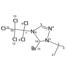 CC(C)N1N=CN(C(Cl)(Cl)C(Cl)(Cl)Cl)C1Br